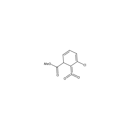 COC(=O)C1C=CC=C(Cl)C1=S(=O)=O